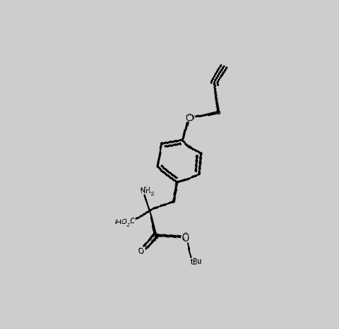 C#CCOc1ccc(CC(N)(C(=O)O)C(=O)OC(C)(C)C)cc1